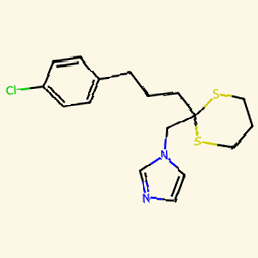 Clc1ccc(CCCC2(Cn3ccnc3)SCCCS2)cc1